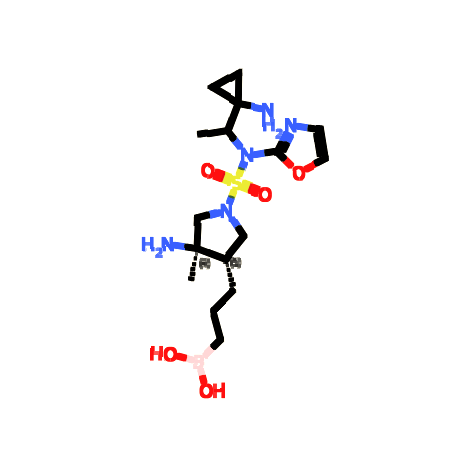 CC(N(c1ncco1)S(=O)(=O)N1C[C@H](CCCB(O)O)[C@@](C)(N)C1)C1(N)CC1